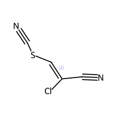 N#CS/C=C(\Cl)C#N